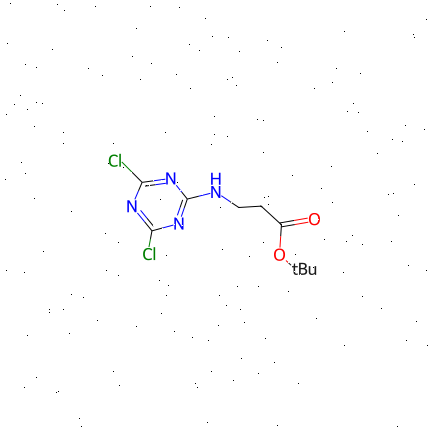 CC(C)(C)OC(=O)CCNc1nc(Cl)nc(Cl)n1